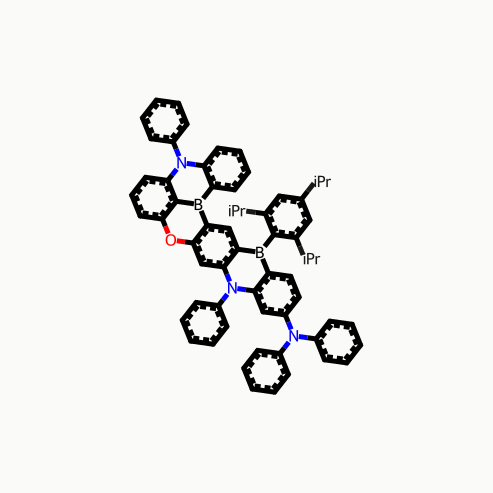 CC(C)c1cc(C(C)C)c(B2c3ccc(N(c4ccccc4)c4ccccc4)cc3N(c3ccccc3)c3cc4c(cc32)B2c3ccccc3N(c3ccccc3)c3cccc(c32)O4)c(C(C)C)c1